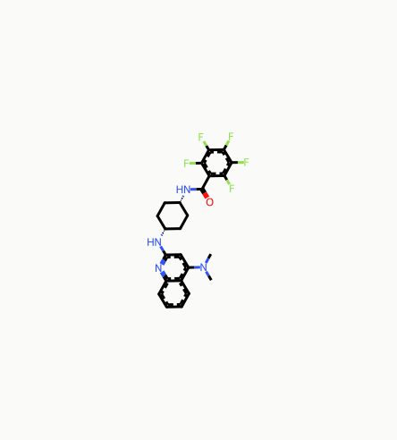 CN(C)c1cc(N[C@H]2CC[C@@H](NC(=O)c3c(F)c(F)c(F)c(F)c3F)CC2)nc2ccccc12